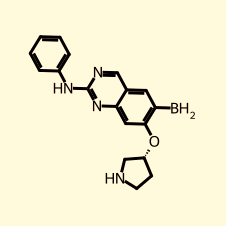 Bc1cc2cnc(Nc3ccccc3)nc2cc1O[C@@H]1CCNC1